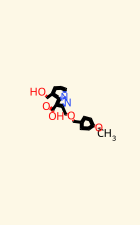 COc1ccc(COCc2nn3cccc(CO)c3c2C(=O)O)cc1